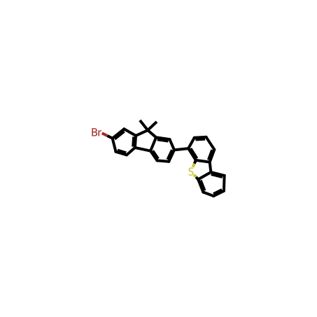 CC1(C)c2cc(Br)ccc2-c2ccc(-c3cccc4c3sc3ccccc34)cc21